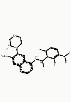 COc1cc2nccc(N[C@H](C)C3C(F)=C(C(F)F)C=CC3C)c2cc1N1CCOC[C@H]1C